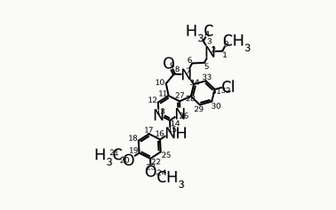 CCN(CC)CCN1C(=O)Cc2cnc(Nc3ccc(OC)c(OC)c3)nc2-c2ccc(Cl)cc21